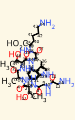 C[C@H](NC(=O)[C@@H](NC(=O)CNC(=O)CN)[C@@H](C)O)C(=O)N[C@H](C(=O)N[C@@H](Cc1c[nH]c2ccccc12)C(=O)N[C@@H](CCCCN)C(=O)O)[C@@H](C)O